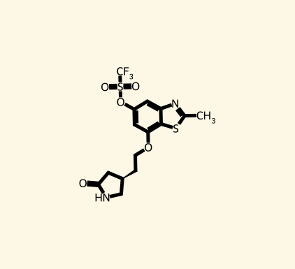 Cc1nc2cc(OS(=O)(=O)C(F)(F)F)cc(OCC[C@H]3CNC(=O)C3)c2s1